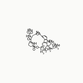 C=C/C(=C(\N=C/C)[C@H](C)OC)c1c2c3cc(ccc3n1CC)-c1cnc(o1)C[C@H](NC(=O)OC(C)(C)C)C(=O)N1CCC[C@H](N1)C(=O)OCC(C)(C)C2